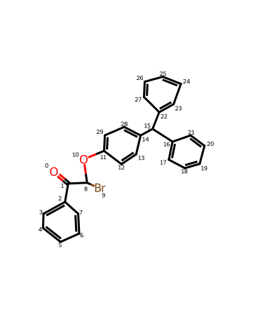 O=C(c1ccccc1)C(Br)Oc1ccc([C](c2ccccc2)c2ccccc2)cc1